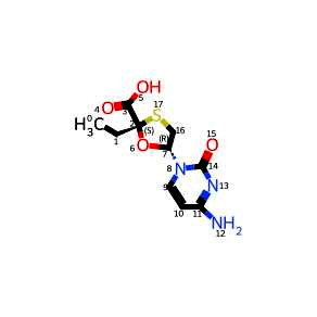 CC[C@]1(C(=O)O)O[C@@H](n2ccc(N)nc2=O)CS1